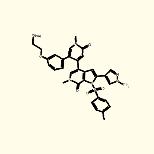 COCCOc1cccc(-c2cn(C)c(=O)cc2-c2cn(C)c(=O)c3c2cc(-c2cnn(C(F)(F)F)c2)n3S(=O)(=O)c2ccc(C)cc2)c1